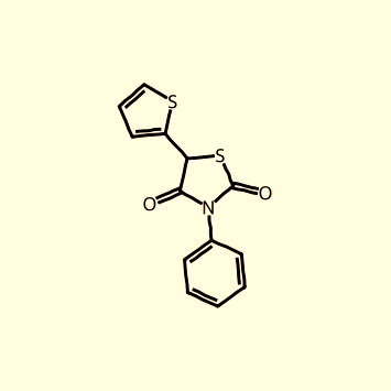 O=C1SC(c2cccs2)C(=O)N1c1ccccc1